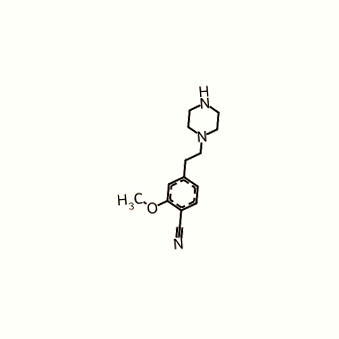 COc1cc(CCN2CCNCC2)ccc1C#N